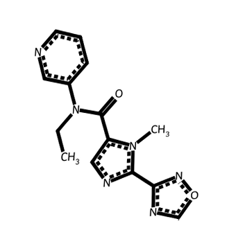 CCN(C(=O)c1cnc(-c2n[c]on2)n1C)c1cccnc1